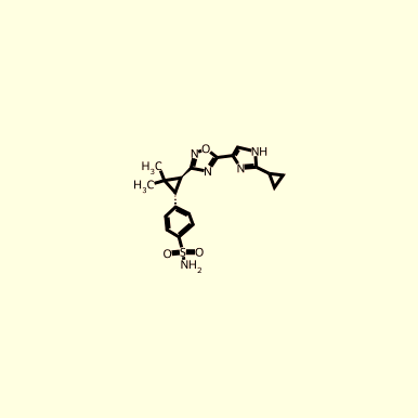 CC1(C)[C@@H](c2ccc(S(N)(=O)=O)cc2)[C@@H]1c1noc(-c2c[nH]c(C3CC3)n2)n1